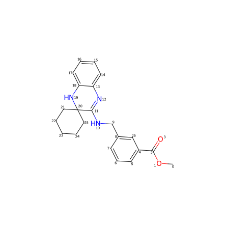 COC(=O)c1cccc(CNC2=Nc3ccccc3NC23CCCCC3)c1